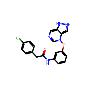 O=C(Cc1ccc(Cl)cc1)Nc1cccc(ON2C=NC=C3NNC=C32)c1